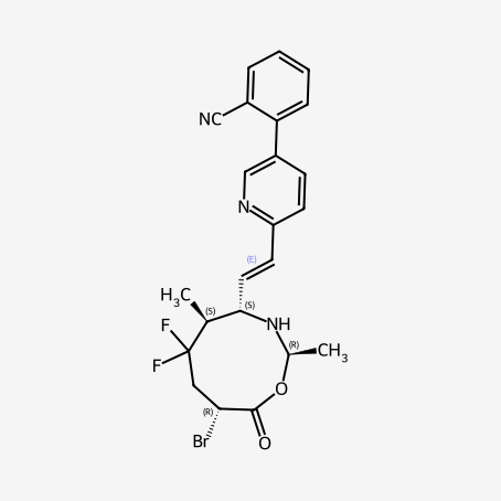 C[C@@H]1N[C@@H](/C=C/c2ccc(-c3ccccc3C#N)cn2)[C@H](C)C(F)(F)C[C@@H](Br)C(=O)O1